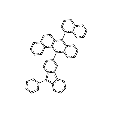 c1ccc(-n2c3ccccc3c3cc(-c4c5ccccc5c(-c5cccc6ccccc56)c5ccc6ccccc6c45)ccc32)cc1